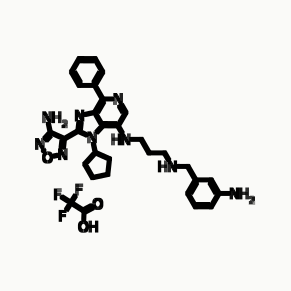 Nc1cccc(CNCCCNc2cnc(-c3ccccc3)c3nc(-c4nonc4N)n(C4CCCC4)c23)c1.O=C(O)C(F)(F)F